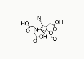 N#Cc1c(N(CC(=O)O)CC(=O)O)sc(OC=O)c1CC(=O)O